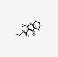 CCOC(=O)c1c(Cl)nc2c(c1Cl)CCCC2